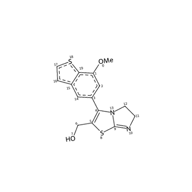 COc1cc(C2=C(CO)SC3=NCCN32)cc2ccsc12